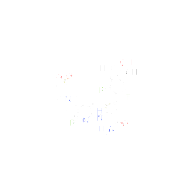 CC(C)(O)c1cc(F)c(-c2cc(C(N)=O)c(Nc3ccc(CN4CCS(=O)(=O)CC4)c(F)n3)s2)c(F)c1